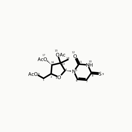 CC(=O)OCC1O[C@@H](n2ccc(=S)[nH]c2=O)C(C)(OC(C)=O)[C@H]1OC(C)=O